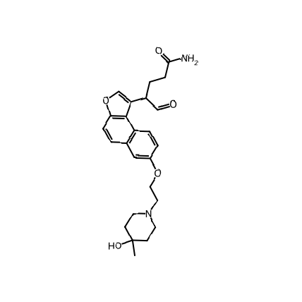 CC1(O)CCN(CCOc2ccc3c(ccc4occ(C(C=O)CCC(N)=O)c43)c2)CC1